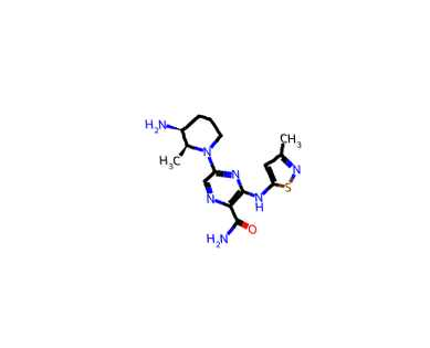 Cc1cc(Nc2nc(N3CCC[C@H](N)[C@@H]3C)cnc2C(N)=O)sn1